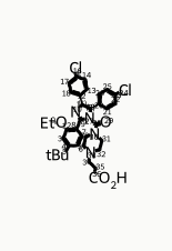 CCOc1cc(C(C)(C)C)ccc1C1=N[C@@H](c2ccc(Cl)cc2)[C@@H](c2ccc(Cl)cc2)N1C(=O)N1CCN(CCC(=O)O)CC1